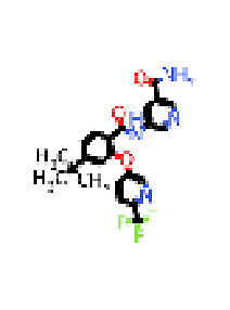 CC(C)(C)c1ccc(C(=O)Nc2cncc(C(N)=O)c2)c(Oc2ccc(C(F)(F)F)nc2)c1